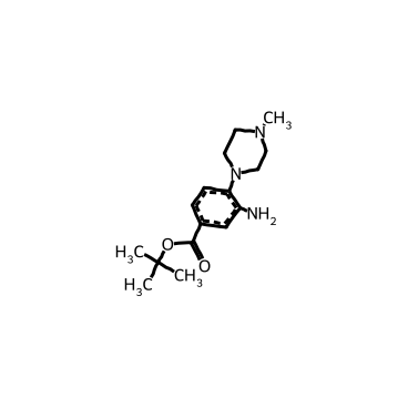 CN1CCN(c2ccc(C(=O)OC(C)(C)C)cc2N)CC1